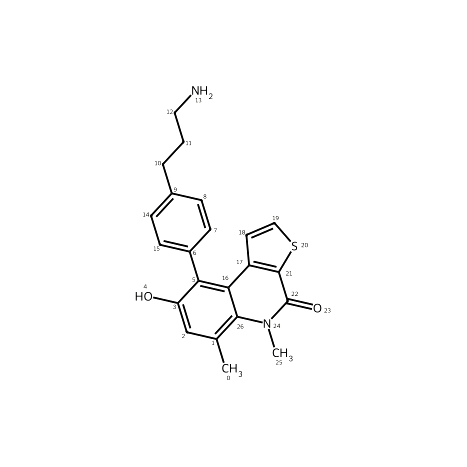 Cc1cc(O)c(-c2ccc(CCCN)cc2)c2c3ccsc3c(=O)n(C)c12